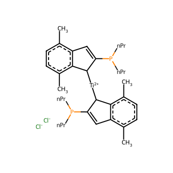 CCCP(CCC)C1=Cc2c(C)ccc(C)c2[CH]1[Ti+2][CH]1C(P(CCC)CCC)=Cc2c(C)ccc(C)c21.[Cl-].[Cl-]